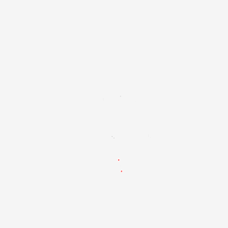 CCCC(C)(Pc1c(C)cccc1CN(Cc1ccccc1)Cc1ccccc1)c1cc(C)ccc1OCc1ccccc1